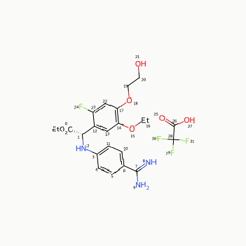 CCOC(=O)[C@@H](Nc1ccc(C(=N)N)cc1)c1cc(OCC)c(OCCO)cc1F.O=C(O)C(F)(F)F